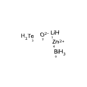 [BiH3].[LiH].[O-2].[TeH2].[Zn+2]